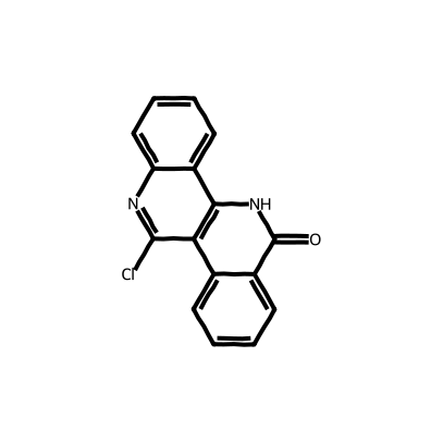 O=c1[nH]c2c3ccccc3nc(Cl)c2c2ccccc12